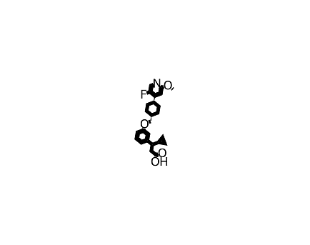 COc1cc([C@H]2CC[C@@H](COc3cccc(C(CC(=O)O)C4CC4)c3)CC2)c(F)cn1